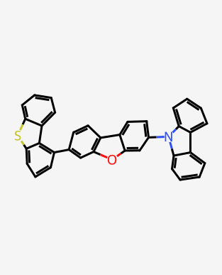 c1ccc2c(c1)sc1cccc(-c3ccc4c(c3)oc3cc(-n5c6ccccc6c6ccccc65)ccc34)c12